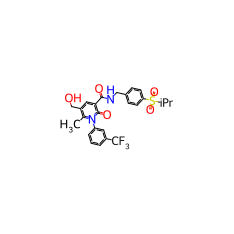 Cc1c(CO)cc(C(=O)NCc2ccc(S(=O)(=O)C(C)C)cc2)c(=O)n1-c1cccc(C(F)(F)F)c1